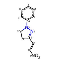 O=[N+]([O-])C=CC1=NN(c2ccccc2)CC1